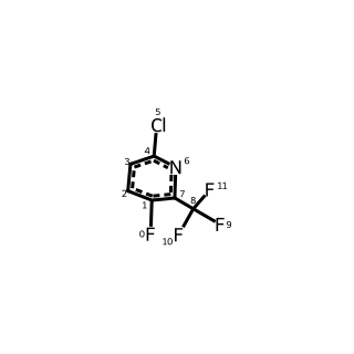 Fc1ccc(Cl)nc1C(F)(F)F